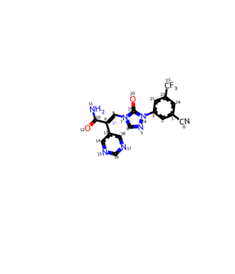 N#Cc1cc(-n2ncn(/C=C(/C(N)=O)c3cncnc3)c2=O)cc(C(F)(F)F)c1